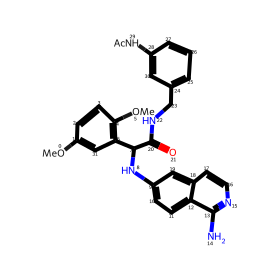 COc1ccc(OC)c(C(Nc2ccc3c(N)nccc3c2)C(=O)NCc2cccc(NC(C)=O)c2)c1